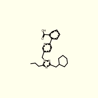 CCCc1nc(CC2CCCCC2)nn1Cc1ccc(-c2ccccc2C(=O)O)nc1